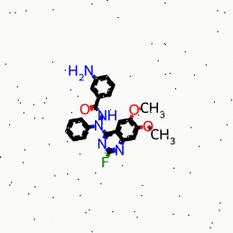 COc1cc2nc(F)nc(N(NC(=O)c3cccc(N)c3)c3ccccc3)c2cc1OC